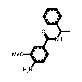 COc1cc(C(=O)NC(C)c2ccccc2)ccc1N